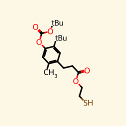 Cc1cc(OC(=O)OC(C)(C)C)c(C(C)(C)C)cc1CCC(=O)OCCS